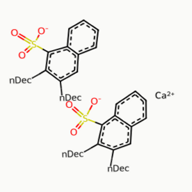 CCCCCCCCCCc1cc2ccccc2c(S(=O)(=O)[O-])c1CCCCCCCCCC.CCCCCCCCCCc1cc2ccccc2c(S(=O)(=O)[O-])c1CCCCCCCCCC.[Ca+2]